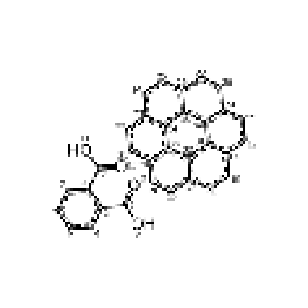 O=C(O)c1ccccc1C(=O)O.c1cc2ccc3ccc4ccc5ccc6ccc1c1c2c3c4c5c61